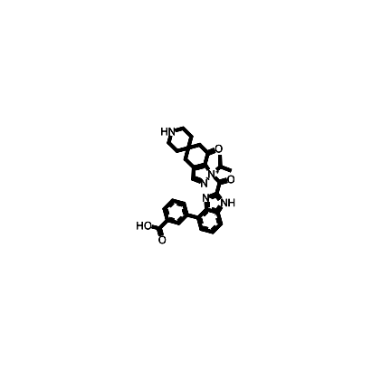 CC(C)[N+]1(C(=O)c2nc3c(-c4cccc(C(=O)O)c4)cccc3[nH]2)N=CC2=C1C(=O)CC1(CCNCC1)C2